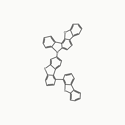 c1ccc2c(c1)oc1c2ccc2c1c1ccccc1n2-c1ccc2c(c1)sc1cccc(-c3cccc4c3sc3ccccc34)c12